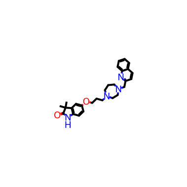 CC1(C)C(=O)Nc2ccc(OCCCN3CCCN(Cc4ccc5ccccc5n4)CC3)cc21